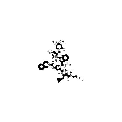 C=CCNC(=O)C(=O)C(CC1CC1)NC(=O)[C@@H]1C[C@@H](OC(=O)N2CCc3ccccc3C2)CN1C(=O)[C@@H](NC(=O)N[C@H](CN1CCC(C)(C)CC1=O)C(C)(C)C)C1(C)CCCCC1